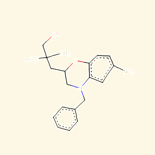 CC(CO)(CC1CN(Cc2ccccc2)c2cc([N+](=O)[O-])ccc2O1)C(=O)O